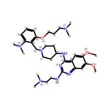 COc1cc2nc(NCCN(C)C)nc(NC3CCN(Cc4c(OCCCN(C)C)cccc4N(C)C)CC3)c2cc1OC